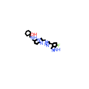 OC1(CNCc2ccc3nc(Cn4cc(-c5ccc(F)c6[nH]ncc56)nn4)cn3c2)CCCCC1